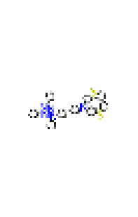 c1ccc(-c2nc(-c3ccccc3)nc(N(c3ccccc3)c3ccc(-c4ccc(-n5c6ccc7sc8ccccc8c7c6c6c7c(ccc65)sc5ccccc57)cc4)cc3)n2)cc1